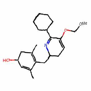 COCOC1=CCC(CC2=C(C)CC(O)C=C2C)N=C1C1CCCCC1